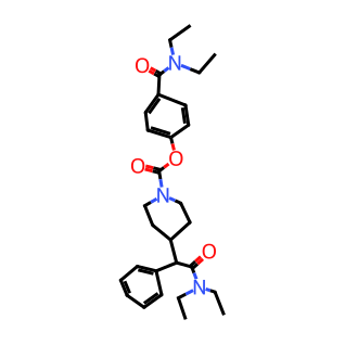 CCN(CC)C(=O)c1ccc(OC(=O)N2CCC(C(C(=O)N(CC)CC)c3ccccc3)CC2)cc1